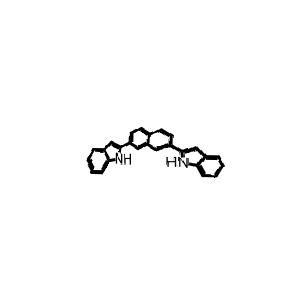 c1ccc2[nH]c(-c3ccc4ccc(-c5cc6ccccc6[nH]5)cc4c3)cc2c1